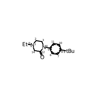 CCN1CCN(c2ccc(C(C)(C)C)cc2)C(=O)C1